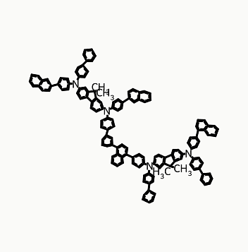 CC1(C)c2cc(N(c3ccc(-c4ccccc4)cc3)c3ccc(-c4ccc5ccccc5c4)cc3)ccc2-c2ccc(N(c3ccc(-c4cccc(-c5ccc(-c6ccc(N(c7ccc(-c8ccccc8)cc7)c7ccc8c(c7)C(C)(C)c7cc(N(c9ccc(-c%10ccccc%10)cc9)c9ccc(-c%10cccc%11ccccc%10%11)cc9)ccc7-8)cc6)c6ccccc56)c4)cc3)c3ccc(-c4ccc5ccccc5c4)cc3)cc21